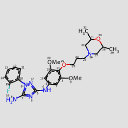 COc1cc(Nc2nc(N)n(-c3ccccc3F)n2)cc(OC)c1OCCCN1CC(C)OC(C)C1